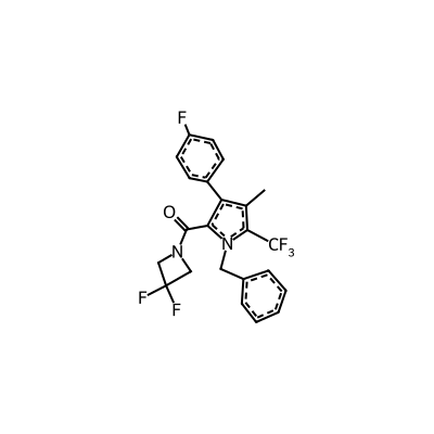 Cc1c(-c2ccc(F)cc2)c(C(=O)N2CC(F)(F)C2)n(Cc2ccccc2)c1C(F)(F)F